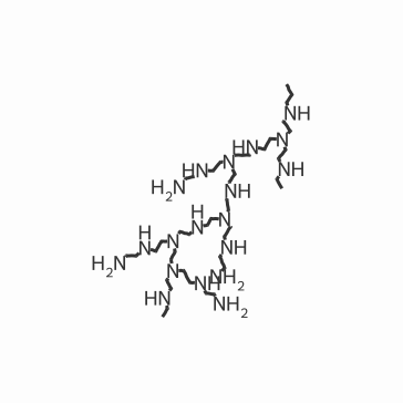 CCCNCCN(CCNCC)CCNCCN(CCNCCN)CCNCCN(CCNCCN)CCNCCN(CCNCCN)CCN(CCNCC)CCNCCN